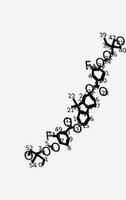 CCC1(COCOc2ccc(C(=O)Oc3ccc4c(c3)C(C)(C)c3cc(OC(=O)c5ccc(OCOCC6(CC)COC6)c(F)c5)ccc3-4)cc2F)COC1